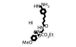 CCOC(=O)[C@H](CNC(=O)CCCCc1ccc(C(=N)N)cc1)NS(=O)(=O)c1ccc(OC)cc1.I